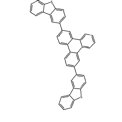 c1ccc2c(c1)sc1ccc(-c3ccc4c5ccc(-c6ccc7sc8ccccc8c7c6)cc5c5ccccc5c4c3)cc12